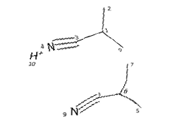 CC(C)C#N.CC(C)C#N.[H+]